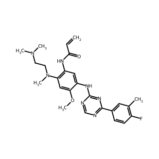 C=CC(=O)Nc1cc(Nc2ncnc(-c3ccc(F)c(C)c3)n2)c(OC)cc1N(C)CCN(C)C